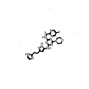 C[C@H](Nc1nc(Nc2cc(CCc3ncc[nH]3)n[nH]2)nc(N2CCOCC2)n1)c1ncc(F)cn1